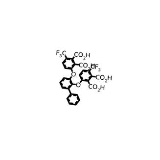 O=C(O)c1c(Oc2cccc(-c3ccccc3)c2Oc2ccc(C(F)(F)F)c(C(=O)O)c2C(=O)O)ccc(C(F)(F)F)c1C(=O)O